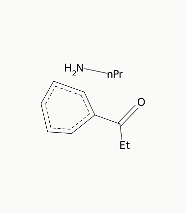 CCC(=O)c1ccccc1.CCCN